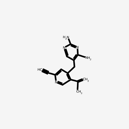 C#Cc1cc(Cc2cnc(N)nc2N)c(C(=C)C)cn1